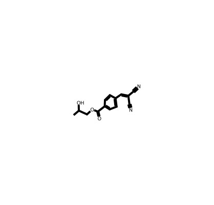 CC(O)COC(=O)c1ccc(C=C(C#N)C#N)cc1